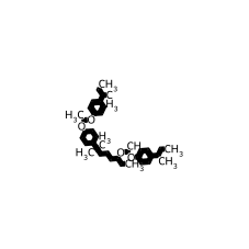 CCC(CCCC(C)(C)C1CCC(OC(C)Oc2ccc(C(C)CC)cc2)CC1)OC(C)Oc1ccc(C(C)CC)cc1